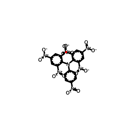 O=[N+]([O-])c1ccc(N(c2c([N+](=O)[O-])cc([N+](=O)[O-])cc2[N+](=O)[O-])c2c([N+](=O)[O-])cc([N+](=O)[O-])cc2[N+](=O)[O-])cc1